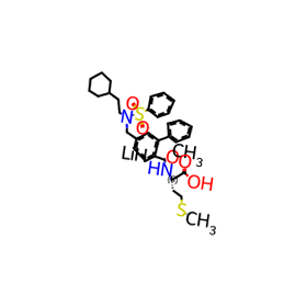 CSCC[C@H](NC(=O)c1ccc(CN(CCC2CCCCC2)S(=O)(=O)c2ccccc2)cc1-c1ccccc1C)C(=O)O.[LiH]